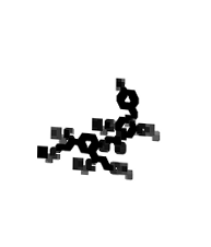 CCCC(C)c1ccc(OCC(=O)N2C[C@H](C)N(Cc3ccc(F)cc3)C[C@H]2C)c(C(C)CCC)c1